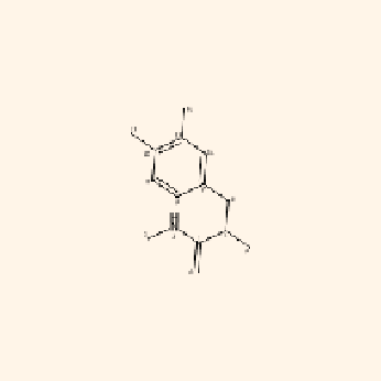 C=C(NC)C(C)Cc1ccc(C)c(C)c1